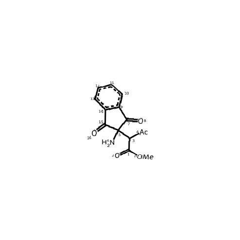 COC(=O)C(C(C)=O)C1(N)C(=O)c2ccccc2C1=O